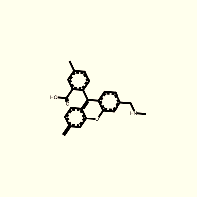 C=c1ccc2c(c1)Oc1cc(CNC)ccc1C=2c1ccc(C)cc1C(=O)O